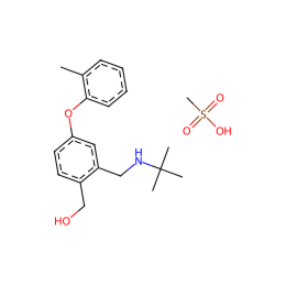 CS(=O)(=O)O.Cc1ccccc1Oc1ccc(CO)c(CNC(C)(C)C)c1